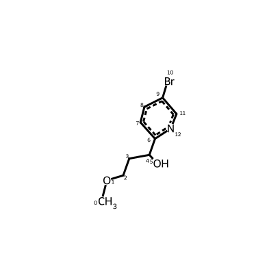 COCCC(O)c1ccc(Br)cn1